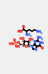 NCCCC(N)C(=O)O.Nc1nc2c(ncn2[C@@H]2O[C@H](COP(=O)(O)O)[C@@H](O)[C@H]2O)c(=O)[nH]1